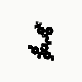 COc1ccc2c(c1)c(CC(=O)NCCC(Oc1ccc(C(F)(F)F)cc1)c1ccccc1)c(C)n2C(=O)c1ccc(Cl)cc1